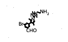 Cc1cn(-c2nnn(CCN)n2)c(C)c1-c1cc(Br)cc(C=O)c1